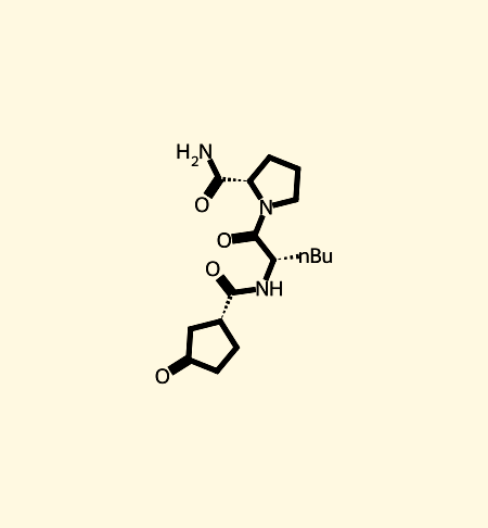 CCCC[C@H](NC(=O)[C@@H]1CCC(=O)C1)C(=O)N1CCC[C@H]1C(N)=O